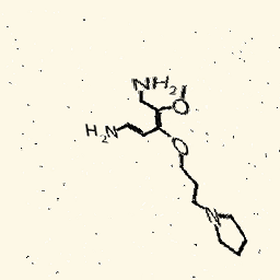 CO/C(CN)=C(/C=C/N)OCCCN1CCCC1